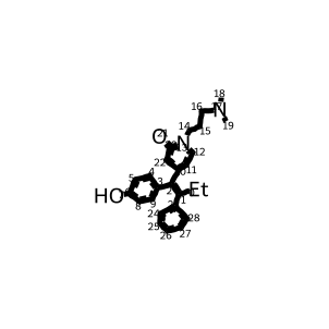 CCC(=C(c1ccc(O)cc1)c1ccn(CCCN(C)C)c(=O)c1)c1ccccc1